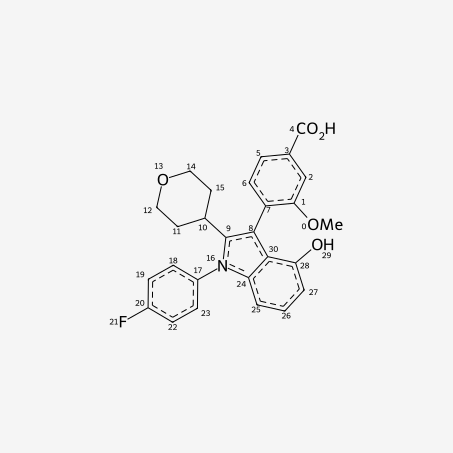 COc1cc(C(=O)O)ccc1-c1c(C2CCOCC2)n(-c2ccc(F)cc2)c2cccc(O)c12